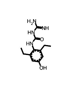 CCc1cc(O)cc(CC)c1NC(=O)NC(=N)N